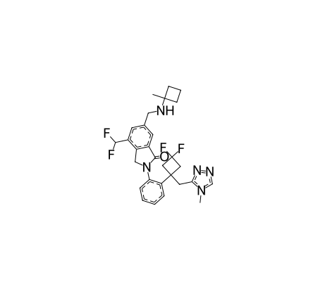 Cn1cnnc1CC1(c2ccccc2N2Cc3c(cc(CNC4(C)CCC4)cc3C(F)F)C2=O)CC(F)(F)C1